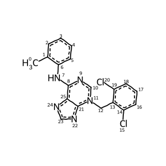 Cc1ccccc1Nc1ncn(Cc2c(Cl)cccc2Cl)c2ncnc1-2